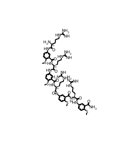 CSc1ccc(NC(=O)[C@H](CCCNC(=N)N)NC(=O)c2cc(N3OC3[C@H](CCCNC(=N)N)NC(=O)c3cc(NC(=O)[C@H](CCCNC(=N)N)NC(=O)c4cc(NC(=O)[C@@H](N)CCCNC(=N)N)ccc4SC)ccc3SC)ccc2SC)cc1C(N)=O